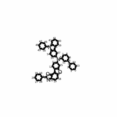 c1ccc(-c2cccc(N(c3ccc4c(c3)oc3ccc5nc(-c6ccccc6)oc5c34)c3ccc4c(c3)c3ccccc3n4-c3ccccc3)c2)cc1